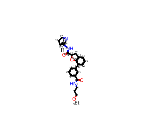 CCOCCCNC(=O)c1cccc(-c2cccc3c2OC(C(=O)N[C@@H]2CN4CCC2CC4)C3)c1